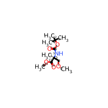 COC[C@](C)(NC(=O)OC(C)(C)C)C(=O)OC